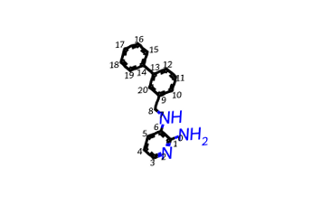 Nc1ncccc1NCc1cccc(-c2ccccc2)c1